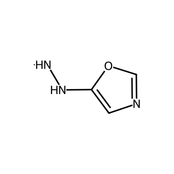 [NH]Nc1cnco1